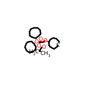 C=C(C)C(=O)OC(COC1CCCCCCCCC1)(OC1CCCCCCCCC1)OC1CCCCCCCCC1